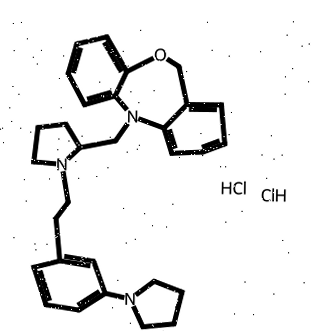 Cl.Cl.c1cc(CCN2CCCC2CN2c3ccccc3COc3ccccc32)cc(N2CCCC2)c1